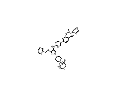 C[C@@H](Cn1cncn1)Oc1cc(-c2cnc(Nc3cn([C@H]4CC[C@H](N5[C@@H]6CC[C@H]5COC6)CC4)nc3OCc3ccccn3)nc2)ccc1C#N